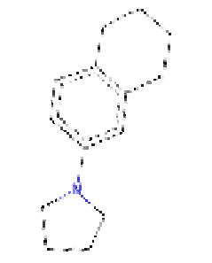 c1cc2c(cc1N1CCCC1)CCCC2